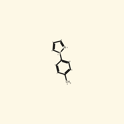 Cc1ccc(-n2c[c]cn2)cc1